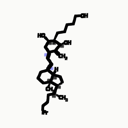 C=C1/C(=C\C=C2/CCC[C@]3(C)[C@@H]([C@H](C)CCCC(C)C)CC[C@@H]23)C[C@@H](O)[C@@H](CCCCCO)[C@@H]1O